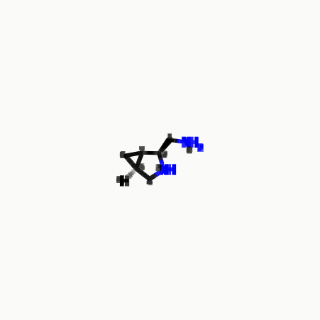 NC[C@H]1NC[C@H]2CC21